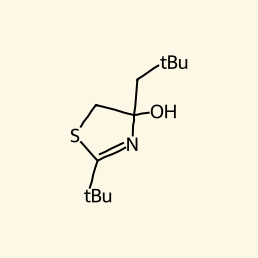 CC(C)(C)CC1(O)CSC(C(C)(C)C)=N1